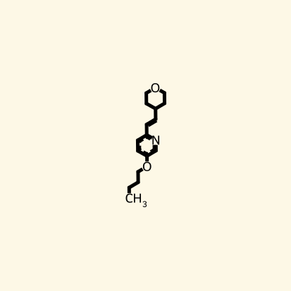 CCCCOc1ccc(/C=C/C2CCOCC2)nc1